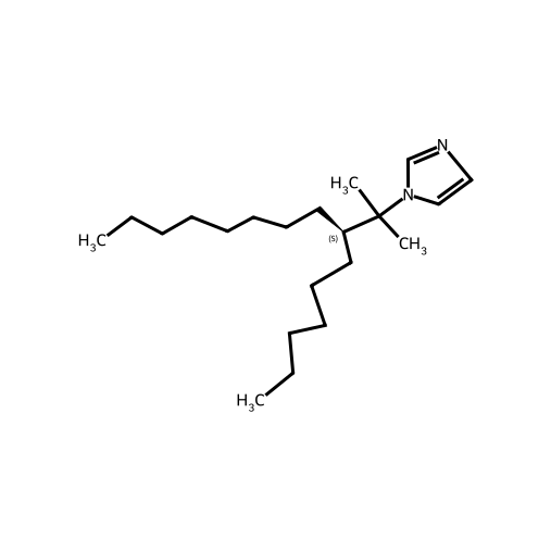 CCCCCCCC[C@H](CCCCCC)C(C)(C)n1ccnc1